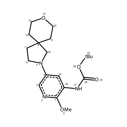 COc1ncc(N2CCC3(CCOCC3)C2)cc1NC(=O)OC(C)(C)C